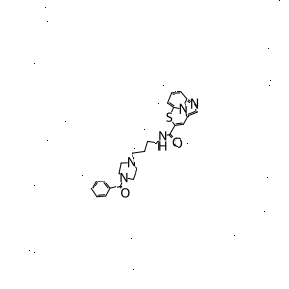 O=C(NCCCCN1CCN(C(=O)c2ccccc2)CC1)C1=Cc2cnc3cccc(n23)S1